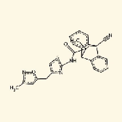 Cc1cc(Cc2csc(NC(=O)C3(C)CC4(C#N)c5ccccc5C3c3ccccc34)n2)on1